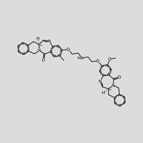 COc1cc2c(cc1OCCNCCOc1cc3c(cc1C)C(=O)N1Cc4ccccc4C[C@H]1C=N3)N=C[C@@H]1Cc3ccccc3CN1C2=O